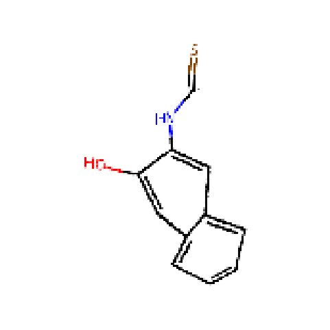 Oc1cc2ccccc2cc1N[C]=S